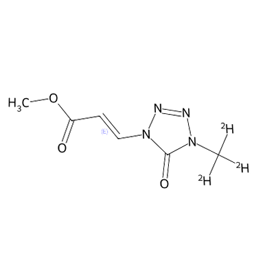 [2H]C([2H])([2H])n1nnn(/C=C/C(=O)OC)c1=O